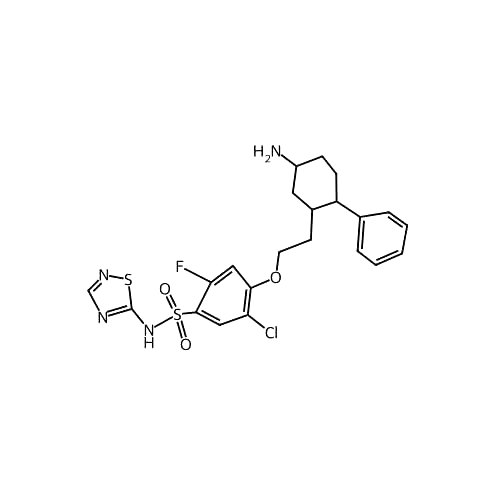 NC1CCC(c2ccccc2)C(CCOc2cc(F)c(S(=O)(=O)Nc3ncns3)cc2Cl)C1